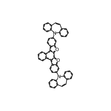 C1=Cc2ccccc2N(c2ccc3c(c2)oc2c4oc5cc(N6c7ccccc7C=Cc7ccccc76)ccc5c4c4ccccc4c32)c2ccccc21